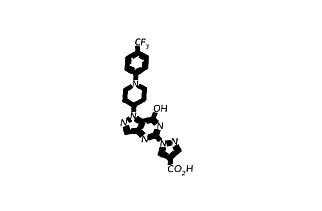 O=C(O)c1cnn(-c2nc(O)c3c(cnn3C3CCN(c4ccc(C(F)(F)F)cc4)CC3)n2)c1